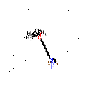 CC(C)CC(C)(C(=O)OCCCCCCCCCCCCn1ccc(=S)[nH]c1=S)C(C)C